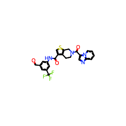 O=Cc1cc(NC(=O)c2csc3c2CCN(C(=O)c2cnc4ccccn24)C3)cc(C(F)(F)F)c1